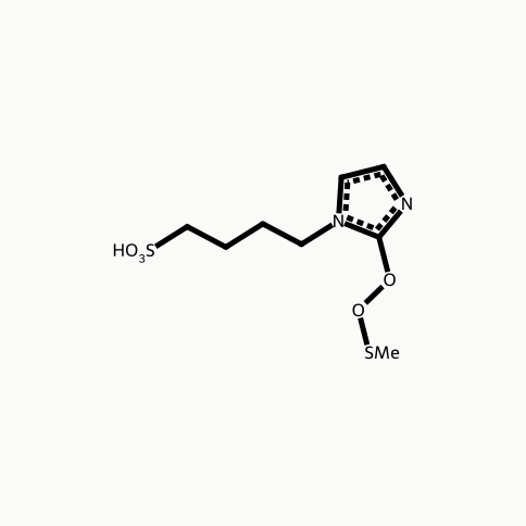 CSOOc1nccn1CCCCS(=O)(=O)O